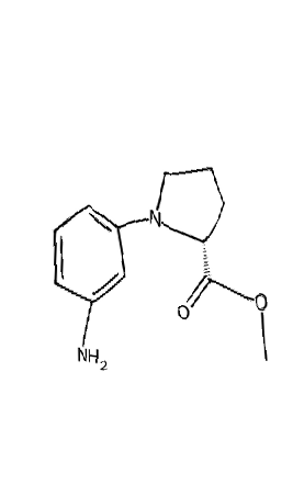 COC(=O)[C@H]1CCCN1c1cccc(N)c1